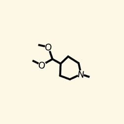 COC(OC)C1CCN(C)CC1